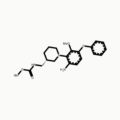 COc1c(Oc2ccccc2)ccc(N)c1N1CCC[C@@H](CNC(=O)OC(C)(C)C)C1